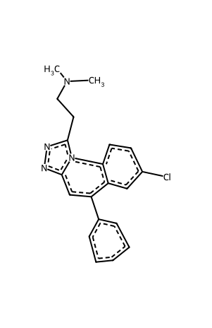 CN(C)CCc1nnc2cc(-c3ccccc3)c3cc(Cl)ccc3n12